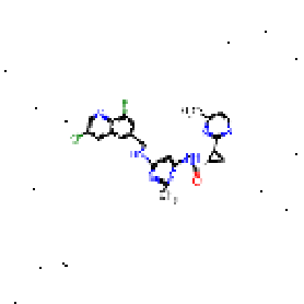 Cc1ccnc([C@H]2C[C@@H]2C(=O)Nc2cc(NCc3cc(F)c4ncc(Cl)cc4c3)nc(C)n2)n1